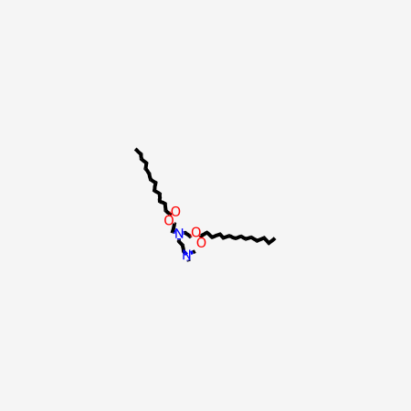 CCCCCCCCCCCCCC(=O)OCCN(CCCN(C)C)CCOC(=O)CCCCCCCCCCCCC